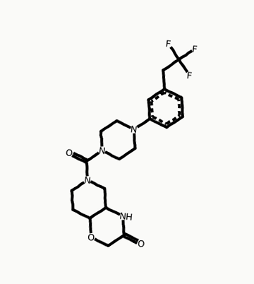 O=C1COC2CCN(C(=O)N3CCN(c4cccc(CC(F)(F)F)c4)CC3)CC2N1